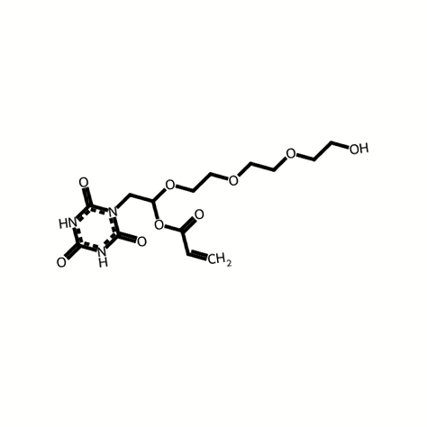 C=CC(=O)OC(Cn1c(=O)[nH]c(=O)[nH]c1=O)OCCOCCOCCO